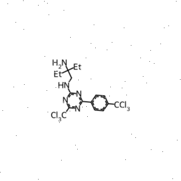 CCC(N)(CC)CNc1nc(-c2ccc(C(Cl)(Cl)Cl)cc2)nc(C(Cl)(Cl)Cl)n1